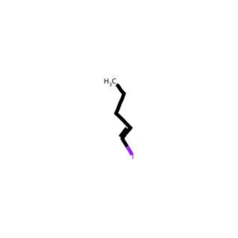 CCCC=CI